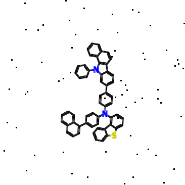 c1ccc(-n2c3cc(-c4ccc(N(c5ccc(-c6cccc7ccccc67)cc5)c5cccc6sc7ccccc7c56)cc4)ccc3c3ccc4ccccc4c32)cc1